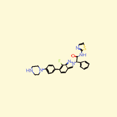 O=C(Nc1nccs1)C(c1ccccc1)n1cc2ccc(-c3ccc(N4CCNCC4)cc3)c(F)c2n1